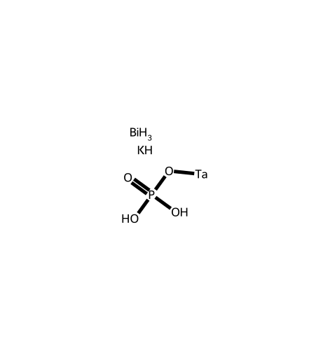 O=P(O)(O)[O][Ta].[BiH3].[KH]